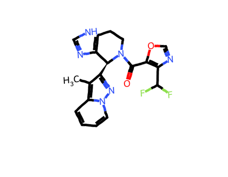 Cc1c([C@H]2c3nc[nH]c3CCN2C(=O)c2ocnc2C(F)F)nn2ccccc12